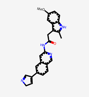 COc1ccc2[nH]c(C)c(CC(=O)Nc3cc4cc(C5=CCN=C5)ccc4cn3)c2c1